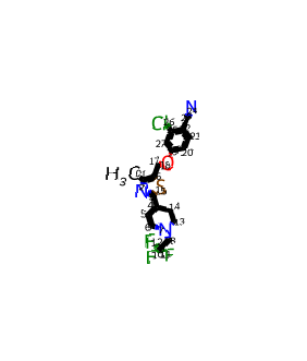 Cc1nc(C2CCN(CC(F)(F)F)CC2)sc1COc1ccc(C#N)c(Cl)c1